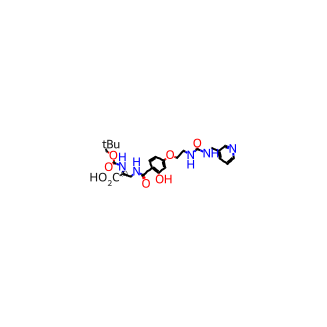 CC(C)(C)COC(=O)N[C@@H](CNC(=O)c1ccc(OCCNC(=O)NCc2cccnc2)cc1O)C(=O)O